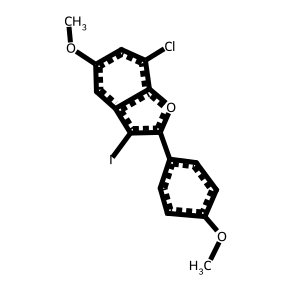 COc1ccc(-c2oc3c(Cl)cc(OC)cc3c2I)cc1